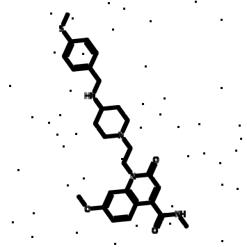 CNC(=O)c1cc(=O)n(CCN2CCC(NCc3ccc(SC)cc3)CC2)c2cc(OC)ccc12